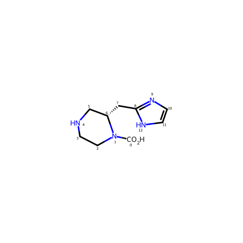 O=C(O)N1CCNC[C@@H]1Cc1ncc[nH]1